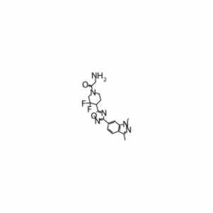 Cc1nn(C)c2cc(-c3noc(C4CCN(C(=O)CN)CC4(F)F)n3)ccc12